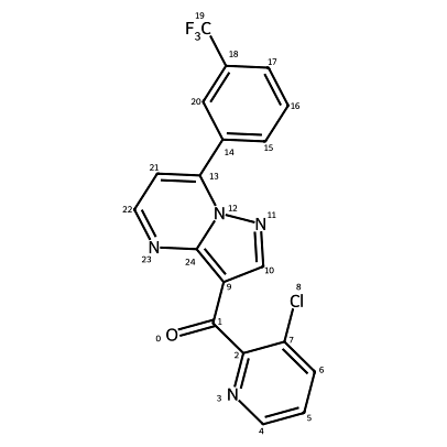 O=C(c1ncccc1Cl)c1cnn2c(-c3cccc(C(F)(F)F)c3)ccnc12